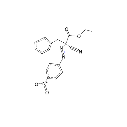 CCOC(=O)C(C#N)(Cc1ccccc1)/N=N/c1ccc([N+](=O)[O-])cc1